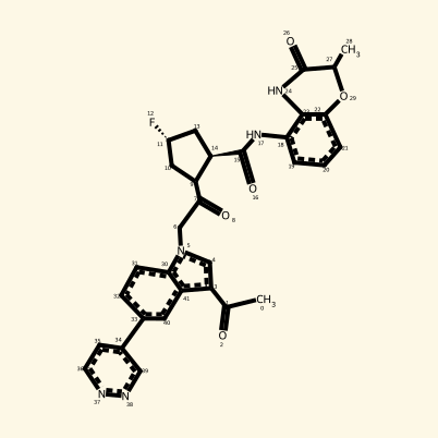 CC(=O)c1cn(CC(=O)C2C[C@H](F)C[C@H]2C(=O)Nc2cccc3c2NC(=O)C(C)O3)c2ccc(-c3ccnnc3)cc12